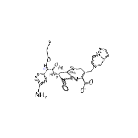 Nc1nc(/C(=N/OCF)C(=O)N[C@@H]2C(=O)N3C(C(=O)[O-])=C(Cn4cc[n+]5cccc-5c4)CS[C@H]23)cs1